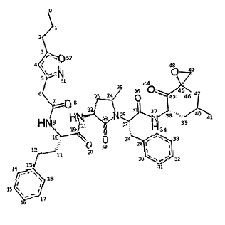 CCCc1cc(CC(=O)N[C@@H](CCc2ccccc2)C(=O)N[C@H]2CC(C)N([C@@H](Cc3ccccc3)C(=O)N[C@@H](CC(C)C)C(=O)C3(C)CO3)C2=O)no1